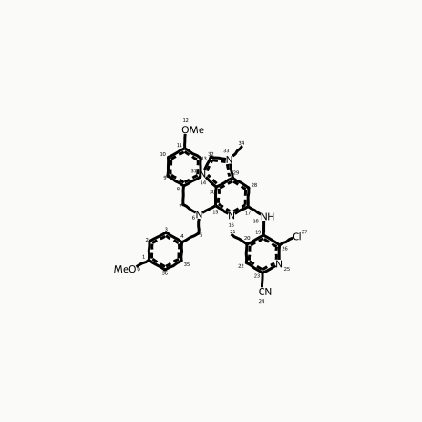 COc1ccc(CN(Cc2ccc(OC)cc2)c2nc(Nc3c(C)cc(C#N)nc3Cl)cc3c2ncn3C)cc1